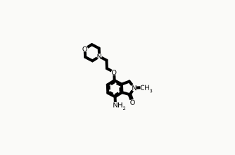 CN1Cc2c(OCCN3CCOCC3)ccc(N)c2C1=O